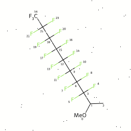 COC(C)C(F)(F)C(F)(F)C(F)(F)C(F)(F)C(F)(F)C(F)(F)C(F)(F)C(F)(F)F